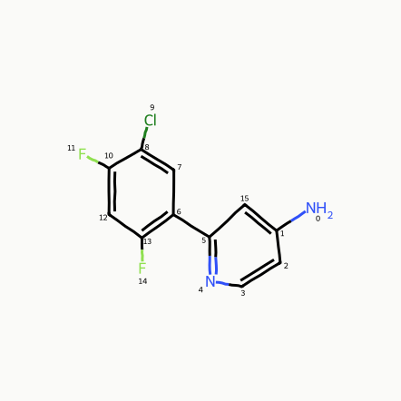 Nc1ccnc(-c2cc(Cl)c(F)cc2F)c1